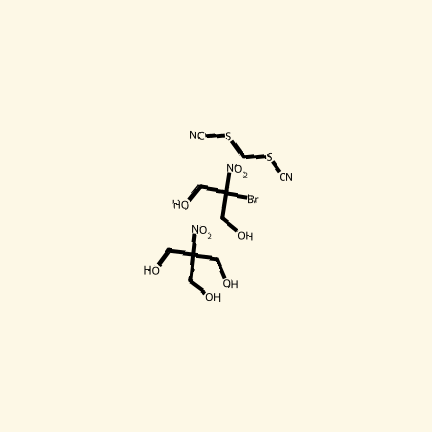 N#CSCSC#N.O=[N+]([O-])C(Br)(CO)CO.O=[N+]([O-])C(CO)(CO)CO